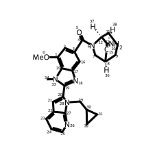 COc1cc(C(=O)N2C[C@@H]3CCC[C@H]2[C@@H](N)C3)cc2nc(-c3cc4cccnc4n3CC3CC3)n(C)c12